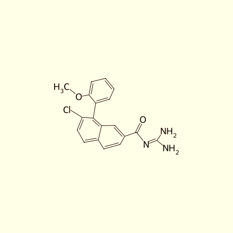 COc1ccccc1-c1c(Cl)ccc2ccc(C(=O)N=C(N)N)cc12